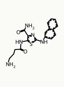 NCCCC(=O)Nc1sc(Nc2ccc3ccccc3c2)nc1C(N)=O